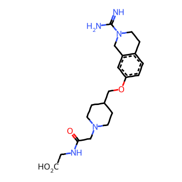 N=C(N)N1CCc2ccc(OCC3CCN(CC(=O)NCC(=O)O)CC3)cc2C1